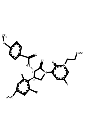 COCCn1cc(F)cc(N2C[C@@H](c3c(F)cc(OC)cc3F)[C@H](NC(=O)c3ccc(OC(F)(F)F)cc3)C2=O)c1=O